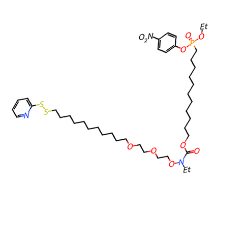 CCOP(=O)(CCCCCCCCCCCOC(=O)N(CC)OCCOCCOCCCCCCCCCCCSSc1ccccn1)Oc1ccc([N+](=O)[O-])cc1